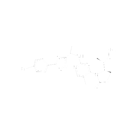 Cc1cnc(NC(C)c2nc(-c3ccc(C(C)C)cc3)no2)nc1N1C(=O)OC[C@@H]1[C@@H](C)OC(C)(C)C